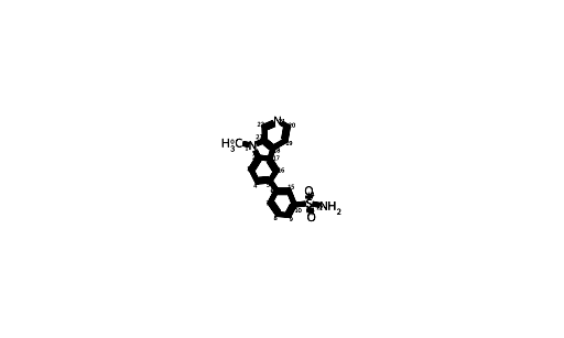 Cn1c2ccc(-c3cccc(S(N)(=O)=O)c3)cc2c2ccncc21